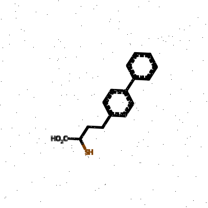 O=C(O)C(S)CCc1ccc(-c2ccccc2)cc1